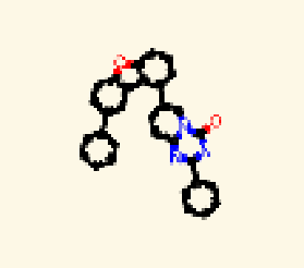 O=c1nc(-c2ccccc2)nc2ccc(-c3cccc4oc5ccc(-c6ccccc6)cc5c34)cn12